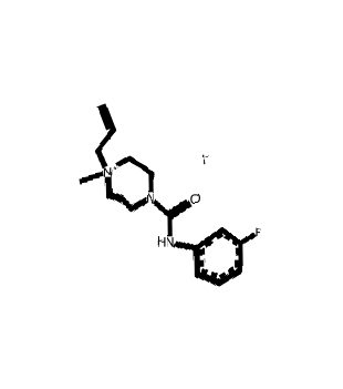 C=CC[N+]1(C)CCN(C(=O)Nc2cccc(F)c2)CC1.[I-]